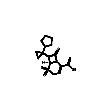 O=C(O)C1=CCS(=O)(=O)[C@H]2C(C3(C4[CH]CCC4)CC3)C(=O)N12